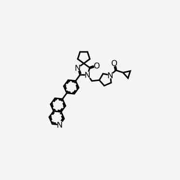 O=C(C1CC1)N1CCC(CN2C(=O)C3(CCCC3)N=C2c2ccc(-c3ccc4ccncc4c3)cc2)C1